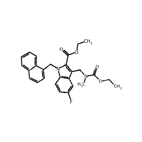 CCOC(=O)c1c(CN(C)C(=O)OCC)c2cc(F)ccc2n1Cc1cccc2ccccc12